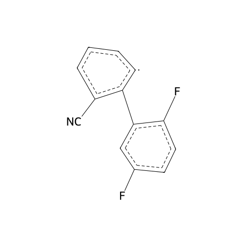 N#Cc1ccc[c]c1-c1cc(F)ccc1F